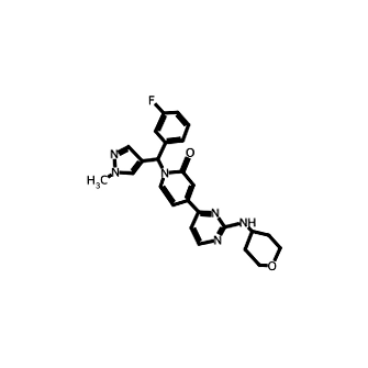 Cn1cc(C(c2cccc(F)c2)n2ccc(-c3ccnc(NC4CCOCC4)n3)cc2=O)cn1